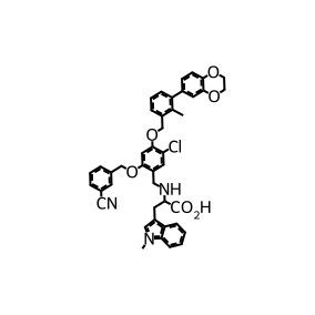 Cc1c(COc2cc(OCc3cccc(C#N)c3)c(CNC(Cc3cn(C)c4ccccc34)C(=O)O)cc2Cl)cccc1-c1ccc2c(c1)OCCO2